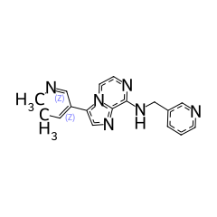 C/C=C(\C=N/C)c1cnc2c(NCc3cccnc3)nccn12